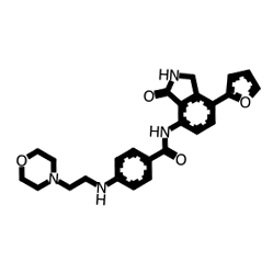 O=C(Nc1ccc(-c2ccco2)c2c1C(=O)NC2)c1ccc(NCCN2CCOCC2)cc1